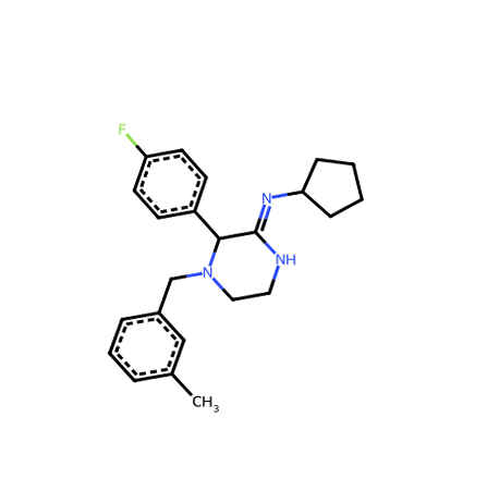 Cc1cccc(CN2CCN/C(=N\C3CCCC3)C2c2ccc(F)cc2)c1